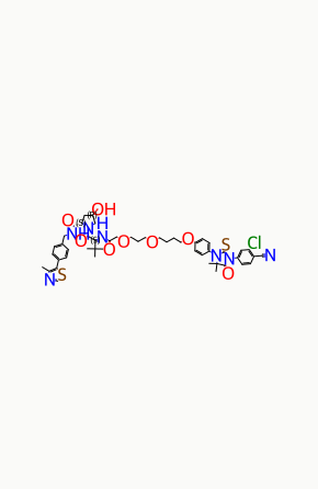 Cc1ncsc1-c1ccc(CNC(=O)[C@@H]2C[C@@H](O)CN2C(=O)[C@@H](NC(=O)COCCCOCCCCOc2ccc(N3C(=S)N(c4ccc(C#N)c(Cl)c4)C(=O)C3(C)C)cc2)C(C)(C)C)cc1